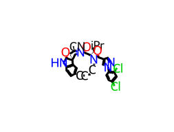 CC(C)C[C@H]1C(=O)N2C[C@]3(C[C@H]2C#N)C(=O)Nc2ccc(cc23)CCCCCN1C(=O)c1cnn(-c2ccc(Cl)cc2Cl)c1